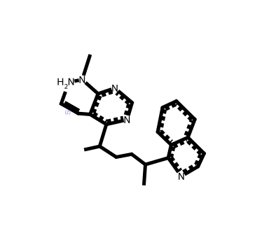 C/C=C\c1c(C(C)CCC(C)c2nccc3ccccc23)ncnc1N(C)N